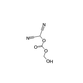 N#CC(C#N)OC(=O)OCO